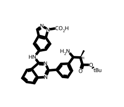 C[C@@H](C(=O)OC(C)(C)C)C(N)c1cccc(-c2nc(Nc3ccc4c(cnn4C(=O)O)c3)c3ccccc3n2)c1